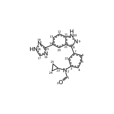 O=CN(c1cccc(-c2n[nH]c3ccc(-c4nc[nH]n4)cc23)c1)C1CC1